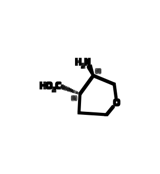 N[C@H]1COCC[C@@H]1C(=O)O